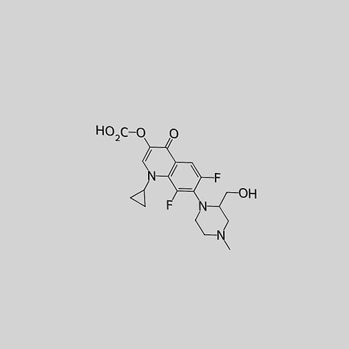 CN1CCN(c2c(F)cc3c(=O)c(OC(=O)O)cn(C4CC4)c3c2F)C(CO)C1